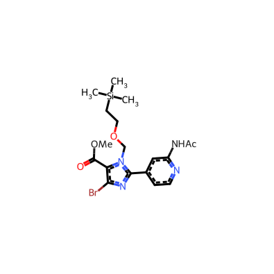 COC(=O)c1c(Br)nc(-c2ccnc(NC(C)=O)c2)n1COCC[Si](C)(C)C